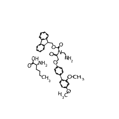 CCCC[C@H](N)C(=O)O.COc1ccc(-c2ccc(OCC(=O)N(CN)C(=O)OCC3c4ccccc4-c4ccccc43)cc2)c(OC)c1